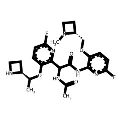 CC(=O)NC(C(=O)Nc1nc(F)ccc1OC[C@H]1CCN1C)c1nc(F)ccc1OC(C)[C@@H]1CCN1